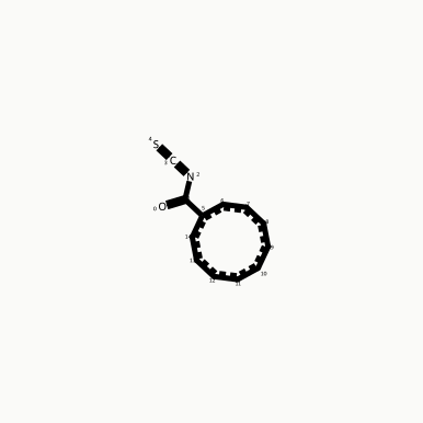 O=C(N=C=S)c1ccccccccc1